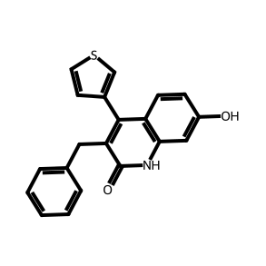 O=c1[nH]c2cc(O)ccc2c(-c2ccsc2)c1Cc1ccccc1